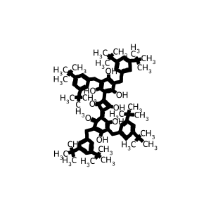 CC(C)(C)c1cc(CC2=C(O)C(Cc3cc(C(C)(C)C)cc(C(C)(C)C)c3)=C(O)/C(=C3/C(=O)C(c4c(O)c(Cc5cc(C(C)(C)C)cc(C(C)(C)C)c5)c(O)c(Cc5cc(C(C)(C)C)cc(C(C)(C)C)c5)c4O)=C3O)C2=O)cc(C(C)(C)C)c1